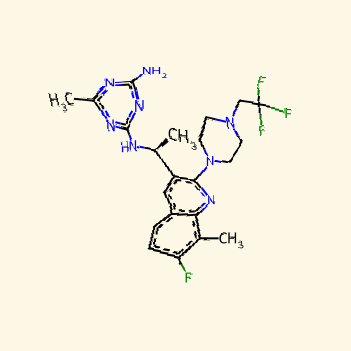 Cc1nc(N)nc(N[C@@H](C)c2cc3ccc(F)c(C)c3nc2N2CCN(CC(F)(F)F)CC2)n1